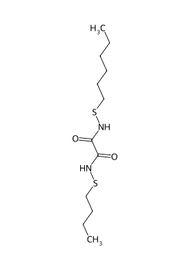 CCCCCCSNC(=O)C(=O)NSCCCC